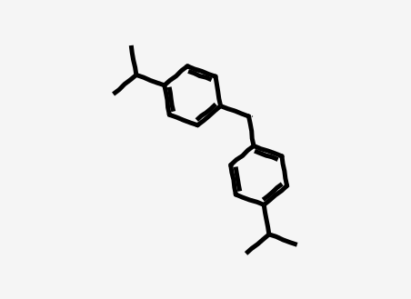 CC(C)c1ccc([CH]c2ccc(C(C)C)cc2)cc1